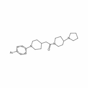 CC(=O)c1ccc(N2CCC(CC(=O)N3CCC(N4CCCC4)CC3)CC2)cc1